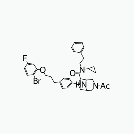 CC(=O)N1CC2CC(c3ccc(CCCOc4cc(F)ccc4Br)cc3)=C(C(=O)N(CCc3ccccc3)C3CC3)C(C1)N2